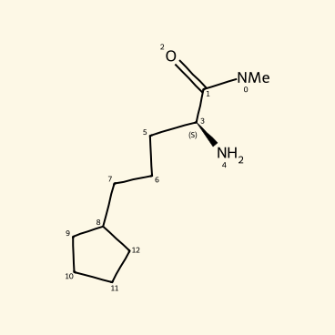 CNC(=O)[C@@H](N)CCCC1CCCC1